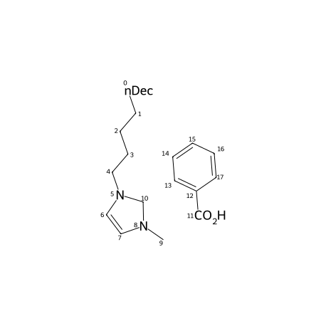 CCCCCCCCCCCCCCN1C=CN(C)C1.O=C(O)c1ccccc1